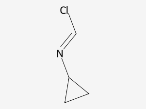 ClC=NC1CC1